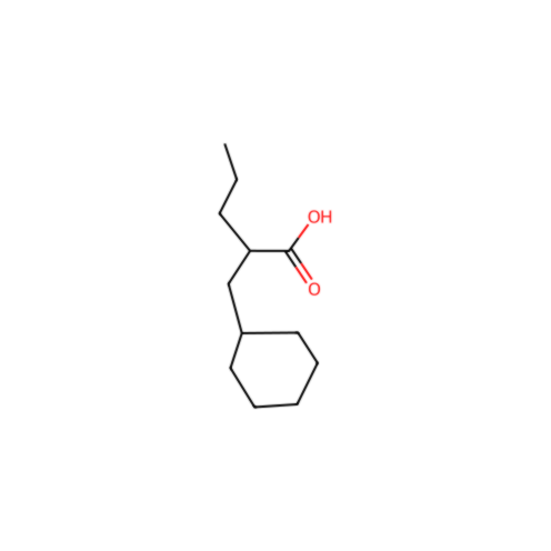 CCCC(CC1CCCCC1)C(=O)O